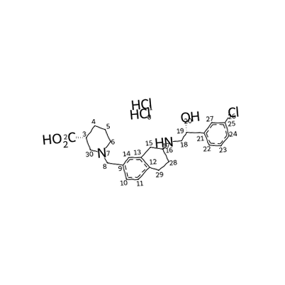 Cl.Cl.O=C(O)[C@@H]1CCCN(Cc2ccc3c(c2)C[C@@H](NC[C@H](O)c2cccc(Cl)c2)CC3)C1